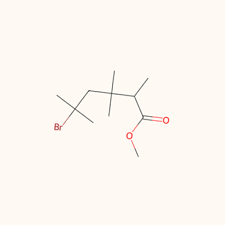 COC(=O)C(C)C(C)(C)CC(C)(C)Br